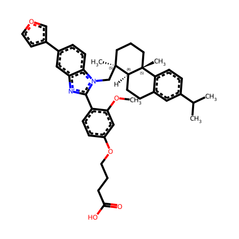 COc1cc(OCCCC(=O)O)ccc1-c1nc2cc(-c3ccoc3)ccc2n1C[C@@]1(C)CCC[C@]2(C)c3ccc(C(C)C)cc3CC[C@@H]12